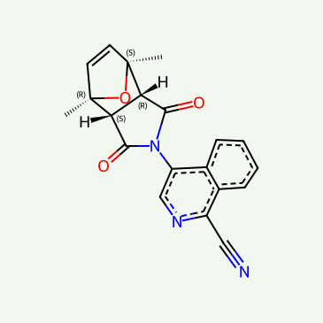 C[C@]12C=C[C@](C)(O1)[C@@H]1C(=O)N(c3cnc(C#N)c4ccccc34)C(=O)[C@@H]12